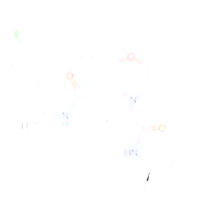 CC[C@@H](NC(=O)c1cc(C(=O)NC(C)c2ccc(F)cc2)c2n1CCOC2C)c1ccccc1